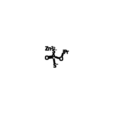 CC(C)OP(=O)([S-])[S-].[Zn+2]